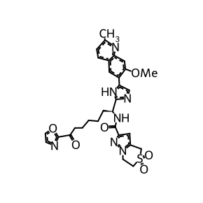 COc1cc2nc(C)ccc2cc1-c1cnc([C@H](CCCCCC(=O)c2ncco2)NC(=O)c2cc3n(n2)CCS(=O)(=O)C3)[nH]1